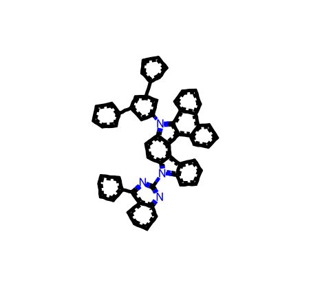 c1ccc(-c2cc(-c3ccccc3)cc(-n3c4ccc5c(c6ccccc6n5-c5nc(-c6ccccc6)c6ccccc6n5)c4c4c5ccccc5c5ccccc5c43)c2)cc1